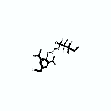 CCC(F)(F)C(F)(F)C(F)(F)SOOOc1c(C(C)C)cc(C=O)cc1C(C)C